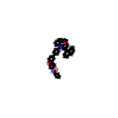 CC1(C)c2ccccc2-c2c(N(c3ccc(-c4ccc5oc6cc7nc(-c8ccccc8)oc7cc6c5c4)cc3)c3cccc(-c4cccc5ccccc45)c3)cccc21